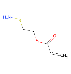 C=CC(=O)OCCSN